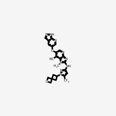 Cn1c(Nc2cc(C(F)(F)F)n(C3CC4(COC4)C3)n2)nc2ncc(Oc3cnc4[nH]ncc4c3)c(C#N)c21